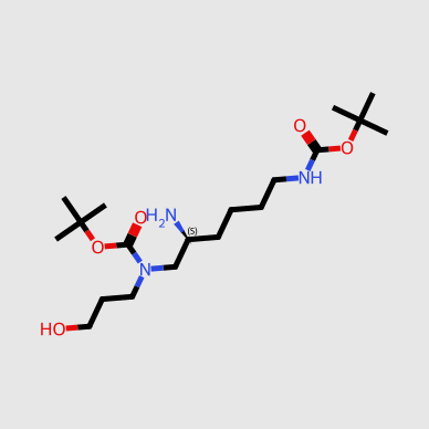 CC(C)(C)OC(=O)NCCCC[C@H](N)CN(CCCO)C(=O)OC(C)(C)C